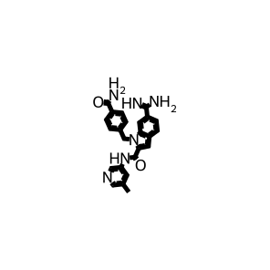 Cc1cncc(NC(=O)c2cc3ccc(C(=N)N)cc3n2Cc2ccc(C(N)=O)cc2)c1